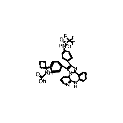 O=C(O)NC1(c2ccc(-c3c(-c4ccc(NS(=O)(=O)C(F)(F)F)cc4)nc4n3-c3cccnc3Nc3ccccc3-4)cc2)CCC1